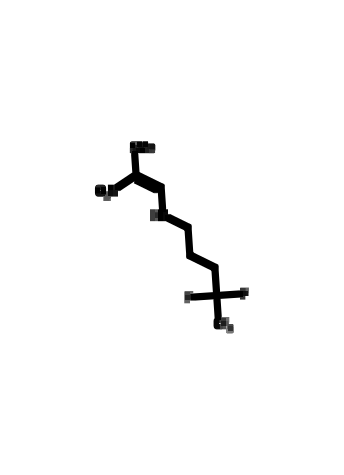 CSC(=CNCCCC(F)(F)C(F)(F)F)[N+](=O)[O-]